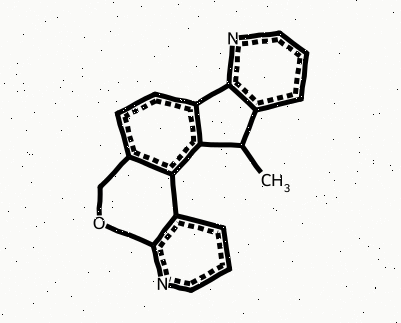 CC1c2cccnc2-c2ccc3c(c21)-c1cccnc1OC3